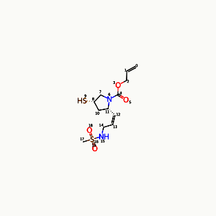 C=CCOC(=O)N1C[C@@H](S)C[C@H]1/C=C\CNS(C)(=O)=O